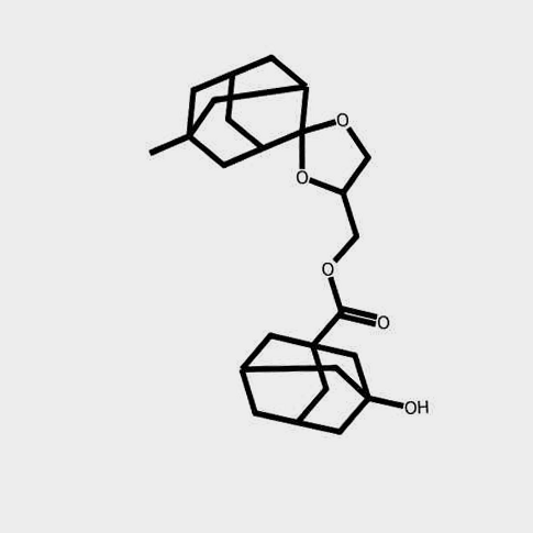 CC12CC3CC(C1)C1(OCC(COC(=O)C45CC6CC(CC(O)(C6)C4)C5)O1)C(C3)C2